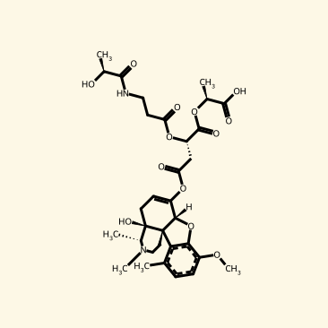 COc1ccc(C)c2c1O[C@H]1C(OC(=O)C[C@H](OC(=O)CCNC(=O)[C@H](C)O)C(=O)O[C@@H](C)C(=O)O)=CC[C@@]3(O)[C@@H](C)N(C)CC[C@]213